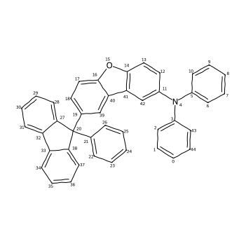 c1ccc(N(c2ccccc2)c2ccc3oc4ccc(C5(c6ccccc6)c6ccccc6-c6ccccc65)cc4c3c2)cc1